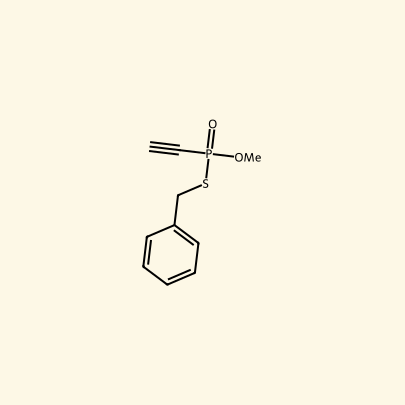 C#CP(=O)(OC)SCc1ccccc1